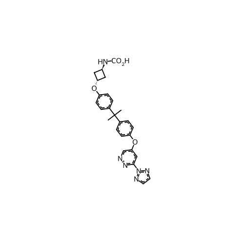 CC(C)(c1ccc(Oc2cnnc(-n3nccn3)c2)cc1)c1ccc(O[C@H]2C[C@H](NC(=O)O)C2)cc1